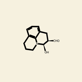 O=C[C@@H]1Cc2cccc3c2N(CCC3)[C@@H]1O